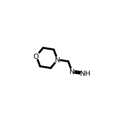 N=NCN1CCOCC1